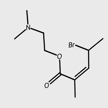 CC(=CC(C)Br)C(=O)OCCN(C)C